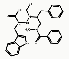 CCN(N[C@@H](Cc1c[nH]c2ccccc12)C(=O)O)C(Cc1ccccc1)CN(C)C(=O)c1ccccc1